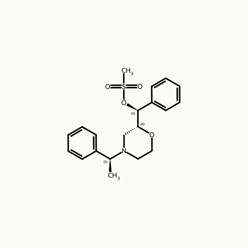 C[C@@H](c1ccccc1)N1CCO[C@@H]([C@@H](OS(C)(=O)=O)c2ccccc2)C1